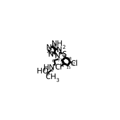 CC(O)CNCCCn1c(Sc2cc(Cl)cc(Cl)c2)nc2c(N)ncnc21